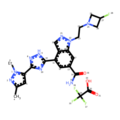 CCn1nc(C)cc1-c1n[nH]c(-c2cc(C(N)=O)cc3c2cnn3CCN2CC(F)C2)n1.O=C(O)C(F)(F)F